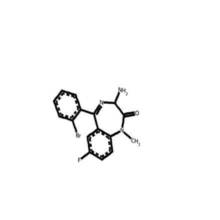 CN1C(=O)C(N)N=C(c2ccccc2Br)c2cc(F)ccc21